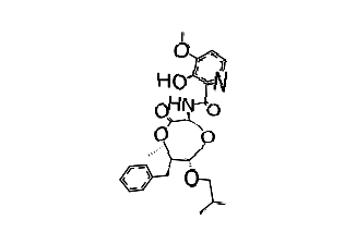 COc1ccnc(C(=O)N[C@H]2COC[C@H](OCC(C)C)[C@@H](Cc3ccccc3)[C@H](C)OC2=O)c1O